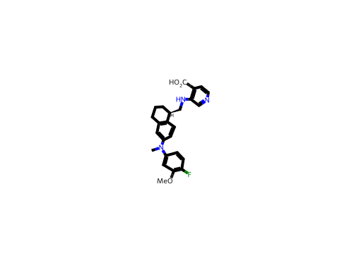 COc1cc(N(C)c2ccc3c(c2)CCC[C@H]3CNc2cnccc2C(=O)O)ccc1F